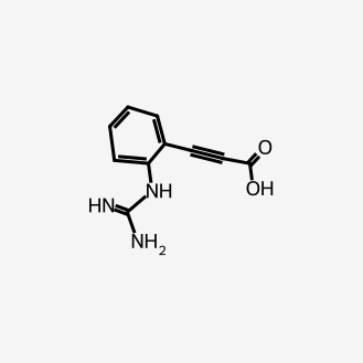 N=C(N)Nc1ccccc1C#CC(=O)O